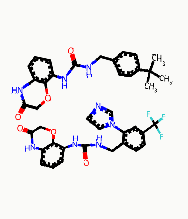 CC(C)(C)c1ccc(CNC(=O)Nc2cccc3c2OCC(=O)N3)cc1.O=C1COc2c(cccc2NC(=O)NCc2ccc(C(F)(F)F)cc2-n2ccnc2)N1